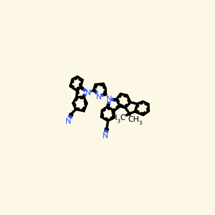 CC1(C)c2ccccc2-c2ccc3c(c21)c1cc(C#N)ccc1n3-c1cccc(-n2c3ccccc3c3cc(C#N)ccc32)n1